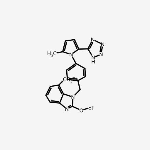 CCOC(=O)c1cccc2nc(OCC)n(Cc3ccc(-n4c(C)ccc4-c4nnn[nH]4)cc3)c12